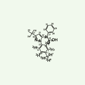 [2H]c1c([2H])c(C([2H])([2H])[2H])c([2H])c([2H])c1-n1nc(C(C)(C)C)cc1N(C(=O)O)c1ccccc1